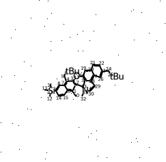 Cc1c2c(c(CC(C)(C)C)c3cc([Si](C)(C)C)ccc13)Oc1cc3ccc(CC(C)(C)C)cc3c3cc[n+](C)c-2c13